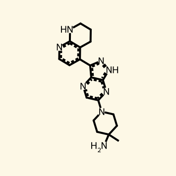 CC1(N)CCN(c2cnc3c(-c4ccnc5c4CCCN5)n[nH]c3n2)CC1